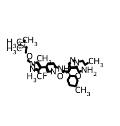 CCCn1ncc([C@@H](C(=O)Nc2ccc(-c3c(C)nn(COCC[Si](C)(C)C)c3C)c(F)n2)C2CCC(C)CC2)c1C(N)=O